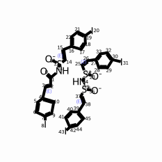 O=C(/C=C/c1ccc(I)cc1)N[S+]([O-])/C=C/c1ccc(I)cc1.[O-][S+](/C=C\c1ccc(I)cc1)N[S+]([O-])/C=C/c1ccc(I)cc1